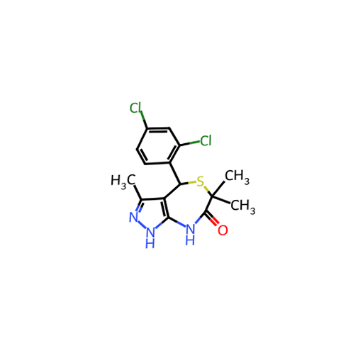 Cc1n[nH]c2c1C(c1ccc(Cl)cc1Cl)SC(C)(C)C(=O)N2